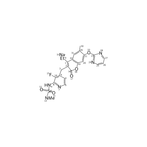 CCc1c(Cc2ccnc(NS(=O)(=O)NC)c2F)c(=O)oc2cc(Oc3ncccn3)c(C)cc12.[Na]